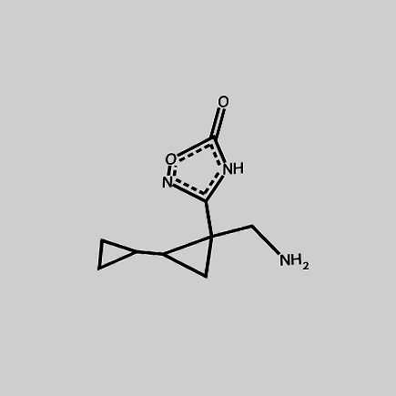 NCC1(c2noc(=O)[nH]2)CC1C1CC1